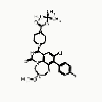 CO[C@@H]1CSc2c(-c3ccc(F)cc3)c(Cl)cc3c(N4CCN(C(=O)OC(C)(C)C)CC4)nc(=O)n(c23)C1